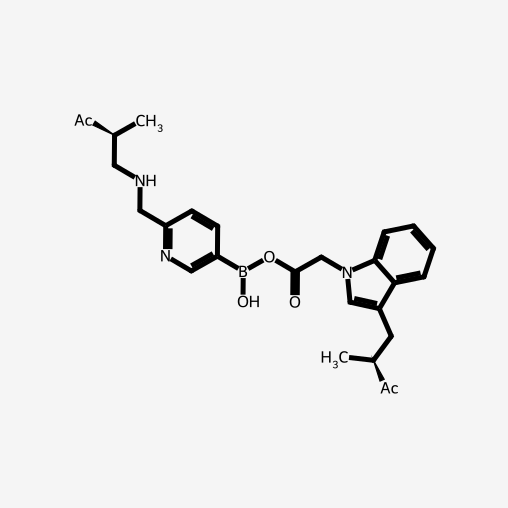 CC(=O)[C@@H](C)CNCc1ccc(B(O)OC(=O)Cn2cc(C[C@H](C)C(C)=O)c3ccccc32)cn1